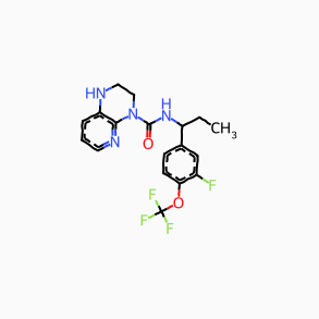 CCC(NC(=O)N1CCNc2cccnc21)c1ccc(OC(F)(F)F)c(F)c1